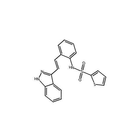 O=S(=O)(Nc1ccccc1/C=C/c1n[nH]c2ccccc12)c1cccs1